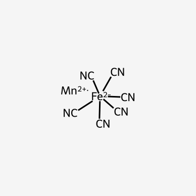 N#[C][Fe-2]([C]#N)([C]#N)([C]#N)([C]#N)[C]#N.[Mn+2]